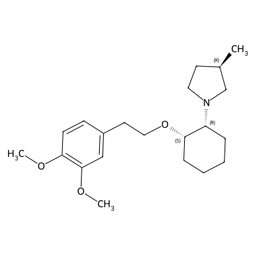 COc1ccc(CCO[C@H]2CCCC[C@H]2N2CC[C@@H](C)C2)cc1OC